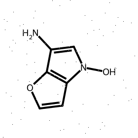 Nc1cn(O)c2ccoc12